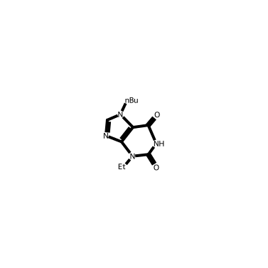 CCCCn1cnc2c1c(=O)[nH]c(=O)n2CC